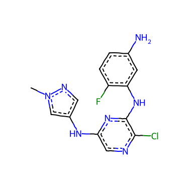 Cn1cc(Nc2cnc(Cl)c(Nc3cc(N)ccc3F)n2)cn1